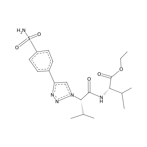 CCOC(=O)[C@@H](NC(=O)[C@H](C(C)C)n1cc(-c2ccc(S(N)(=O)=O)cc2)nn1)C(C)C